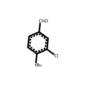 CC(C)(C)c1ccc(C=O)cc1Cl